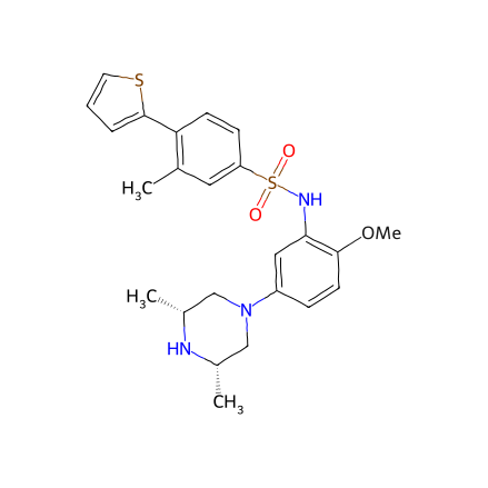 COc1ccc(N2C[C@@H](C)N[C@@H](C)C2)cc1NS(=O)(=O)c1ccc(-c2cccs2)c(C)c1